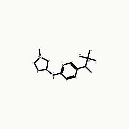 CC(c1ccc(N[C@H]2CCN(C)C2)nc1)C(C)(C)C